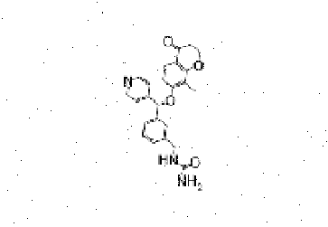 Cc1c(O[C@H](c2ccncc2)c2cccc(CNC(N)=O)c2)ccc2c1OCCC2=O